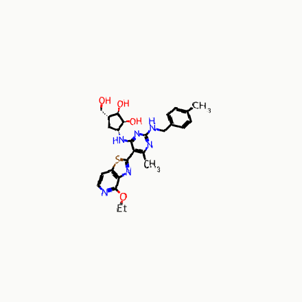 CCOc1nccc2sc(-c3c(C)nc(NCc4ccc(C)cc4)nc3N[C@@H]3C[C@H](CO)[C@@H](O)[C@H]3O)nc12